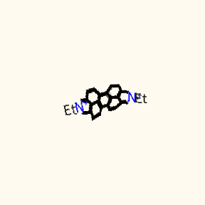 CC[n+]1cc2ccc3c4ccc5c[n+](CC)cc6ccc(c7ccc(c1)c2c37)c4c56